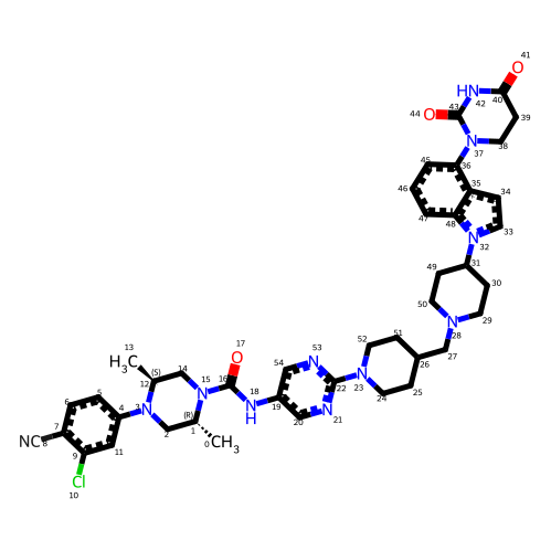 C[C@@H]1CN(c2ccc(C#N)c(Cl)c2)[C@@H](C)CN1C(=O)Nc1cnc(N2CCC(CN3CCC(n4ccc5c(N6CCC(=O)NC6=O)cccc54)CC3)CC2)nc1